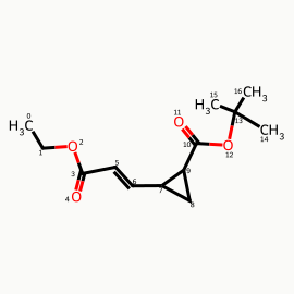 CCOC(=O)/C=C/C1CC1C(=O)OC(C)(C)C